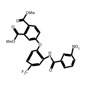 COC(=O)c1ccc(Oc2ccc(C(F)(F)F)cc2NC(=O)c2cccc([N+](=O)[O-])c2)cc1C(=O)OC